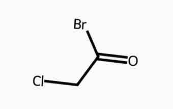 O=C(Br)CCl